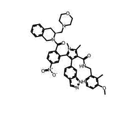 COc1cccc(CNC(=O)c2c(-c3ccc4cn[nH]c4c3)c(-c3cc([N+](=O)[O-])ccc3C(=O)N3Cc4ccccc4C[C@H]3CN3CCOCC3)n(C)c2C)c1C